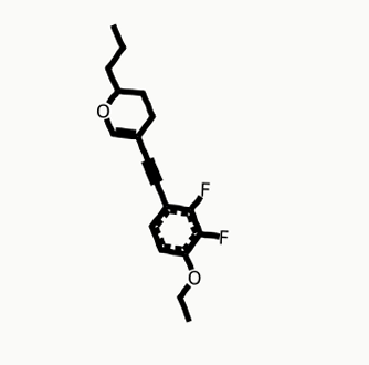 CCCC1CCC(C#Cc2ccc(OCC)c(F)c2F)=CO1